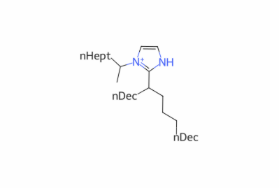 CCCCCCCCCCCCCC(CCCCCCCCCC)c1[nH]cc[n+]1C(C)CCCCCCC